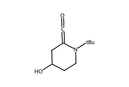 CC(C)(C)N1CCC(O)CC1=C=O